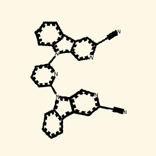 N#Cc1cc2c3ccccc3n(-c3cccc(-n4c5ccccc5c5cc(C#N)ncc54)n3)c2cn1